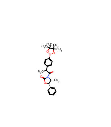 CC(C(=O)N1C(=O)O[C@@H](c2ccccc2)[C@H]1C)c1ccc(B2OC(C)(C)C(C)(C)O2)cc1